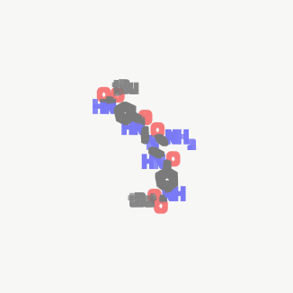 CC(C)(C)OC(=O)Nc1ccc(C(=O)NCCN(CCNC(=O)c2ccc(NC(=O)OC(C)(C)C)cc2)C(=O)CN)cc1